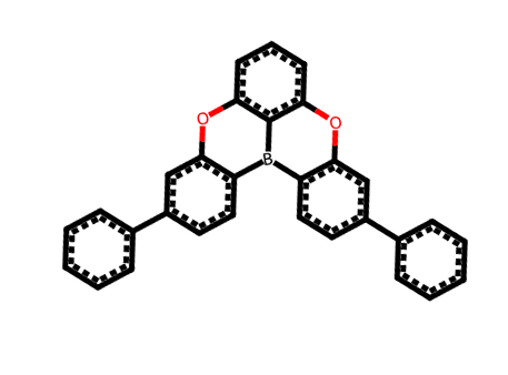 c1ccc(-c2ccc3c(c2)Oc2cccc4c2B3c2ccc(-c3ccccc3)cc2O4)cc1